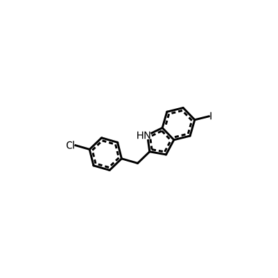 Clc1ccc(Cc2cc3cc(I)ccc3[nH]2)cc1